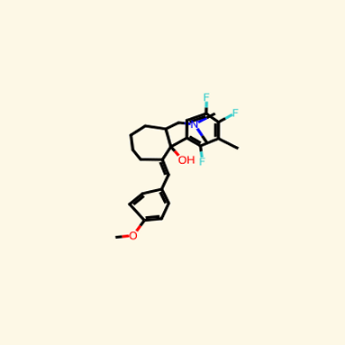 COc1ccc(C=C2CCCCC(CN(C)C)C2(O)c2cc(F)c(F)c(C)c2F)cc1